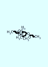 C/C=C/C(=O)OC1CC(C)(C)N(OC(=O)/C=C/C)C(C)(C)C1